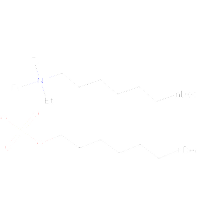 CCCCCCCCCCCCCCCCOS(=O)(=O)[O-].CCCCCCCCCCCCCCCC[N+](CC)(CC)CC